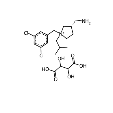 CC(C)C[N+]1(Cc2cc(Cl)cc(Cl)c2)CC[C@@H](CN)C1.O=C(O)C(O)C(O)C(=O)O